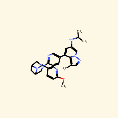 COc1ccc(CN2C3CC2CN(c2ccc(-c4cc(NC(C)C)cn5ncc(C)c45)cn2)C3)cn1